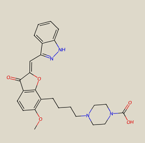 COc1ccc2c(c1CCCCN1CCN(C(=O)O)CC1)O/C(=C\c1n[nH]c3ccccc13)C2=O